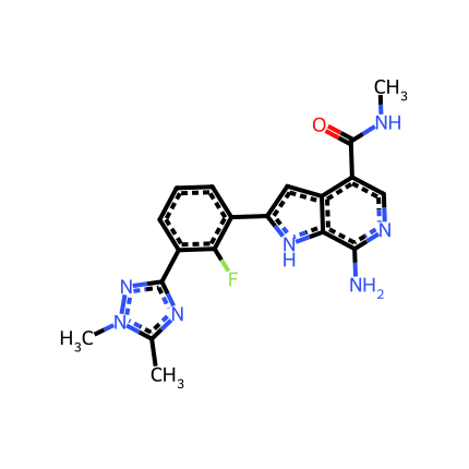 CNC(=O)c1cnc(N)c2[nH]c(-c3cccc(-c4nc(C)n(C)n4)c3F)cc12